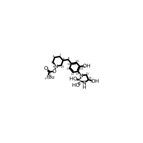 CC(C)(C)C(=O)ON1CCCC(Cc2ccc(N3CC(O)NS3(O)O)c(O)c2)C1